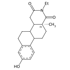 CCN1C(=O)CC2C3CCc4cc(O)ccc4C3CC[C@]2(C)C1=O